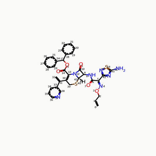 C=CCO/N=C(\C(=O)NC1C(=O)N2C(C(=O)OC(c3ccccc3)c3ccccc3)=C(C(=C)c3cccnc3)CS[C@@H]12)c1nsc(N)n1